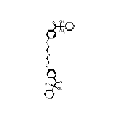 CC(C)(C(=O)c1ccc(SCCSCCSc2ccc(C(=O)C(C)(C)N3CCOCC3)cc2)cc1)N1CCOCC1